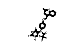 Cc1cc(COc2ccc(N(C(=O)C(F)(F)F)c3c[nH]c(=O)[nH]c3=O)cc2)c2ccccc2n1